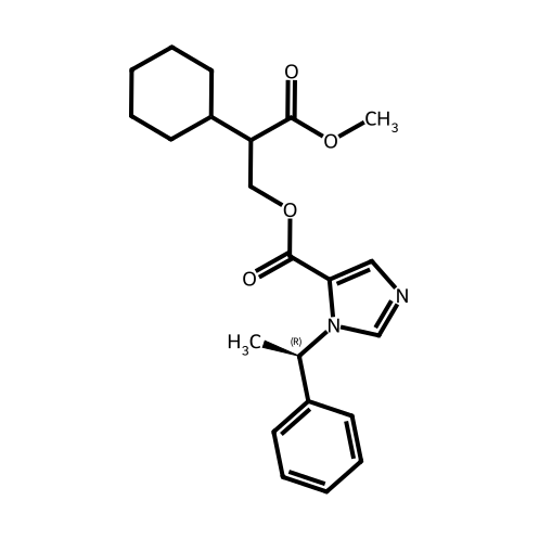 COC(=O)C(COC(=O)c1cncn1[C@H](C)c1ccccc1)C1CCCCC1